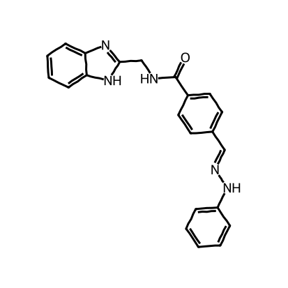 O=C(NCc1nc2ccccc2[nH]1)c1ccc(C=NNc2ccccc2)cc1